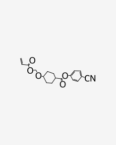 C=CC(=O)OCOC1CCC(C(=O)Oc2ccc(C#N)cc2)CC1